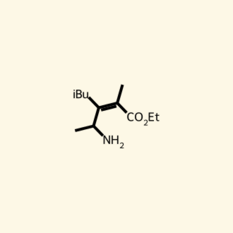 CCOC(=O)C(C)=C(C(C)N)C(C)CC